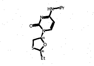 CC[C@@H]1O[C@H](n2ccc(NC(C)C)nc2=O)CS1